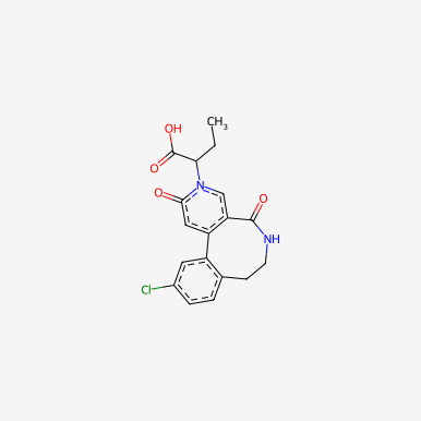 CCC(C(=O)O)n1cc2c(cc1=O)-c1cc(Cl)ccc1CCNC2=O